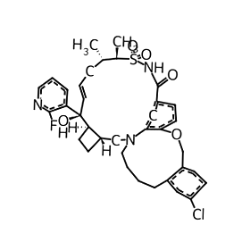 C[C@@H]1[C@@H](C)C/C=C/[C@@](O)(c2cccnc2F)[C@@H]2CC[C@H]2CN2CCCCc3cc(Cl)ccc3COc3ccc(cc32)C(=O)NS1(=O)=O